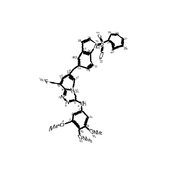 COc1cc(Nc2nnc3c(F)cc(-c4ccc5c(ccn5S(=O)(=O)c5ccccc5)c4)cn23)cc(OC)c1OC